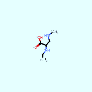 CCNC(CNC)C(=O)O